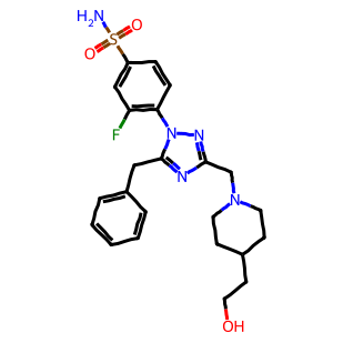 NS(=O)(=O)c1ccc(-n2nc(CN3CCC(CCO)CC3)nc2Cc2ccccc2)c(F)c1